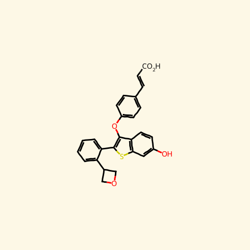 O=C(O)C=Cc1ccc(Oc2c(-c3ccccc3C3COC3)sc3cc(O)ccc23)cc1